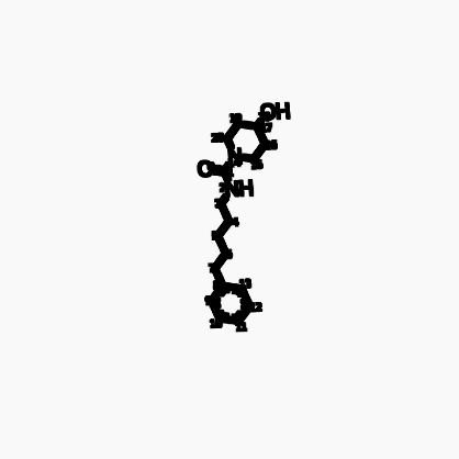 O=C(NCCCCCc1ccccc1)N1CCC(O)CC1